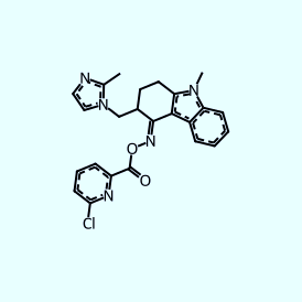 Cc1nccn1CC1CCc2c(c3ccccc3n2C)/C1=N/OC(=O)c1cccc(Cl)n1